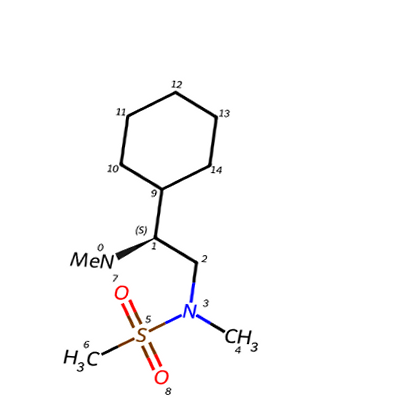 CN[C@H](CN(C)S(C)(=O)=O)C1CCCCC1